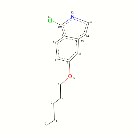 CCCCCOc1ccc2c(Cl)nccc2c1